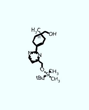 CC(C)(C)[Si](C)(C)OCc1ccnc(C2=CC[C@](C)(CO)CC2)n1